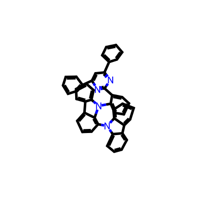 c1ccc(-c2cc(-c3ccccc3)nc(-c3ccccc3-n3c4ccccc4c4cccc(-n5c6ccccc6c6ccccc65)c43)n2)cc1